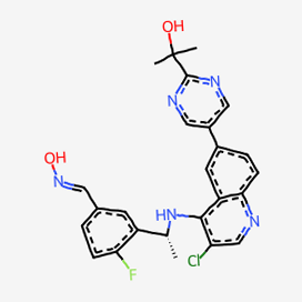 C[C@@H](Nc1c(Cl)cnc2ccc(-c3cnc(C(C)(C)O)nc3)cc12)c1cc(/C=N/O)ccc1F